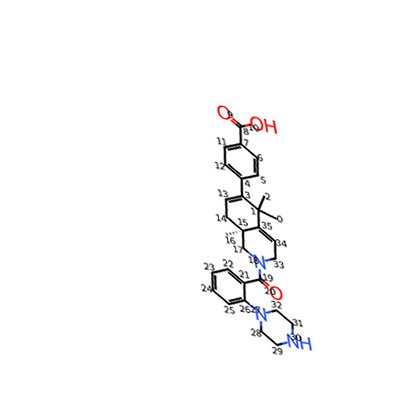 CC1(C)C(c2ccc(C(=O)O)cc2)=CC[C@]2(C)CN(C(=O)c3ccccc3N3CCNCC3)CC=C12